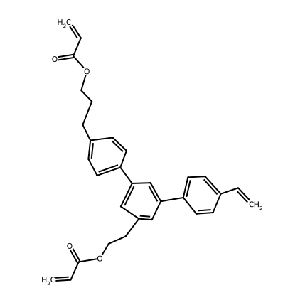 C=CC(=O)OCCCc1ccc(-c2cc(CCOC(=O)C=C)cc(-c3ccc(C=C)cc3)c2)cc1